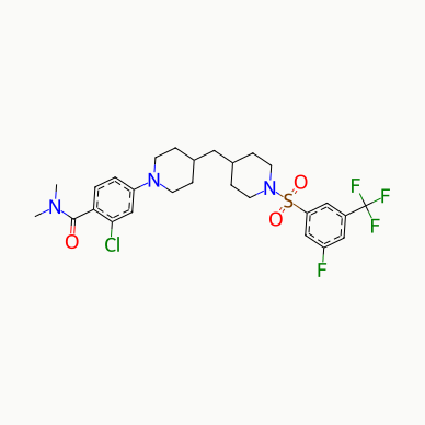 CN(C)C(=O)c1ccc(N2CCC(CC3CCN(S(=O)(=O)c4cc(F)cc(C(F)(F)F)c4)CC3)CC2)cc1Cl